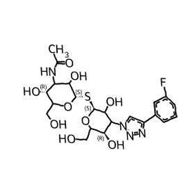 CC(=O)NC1C(O)[C@H](S[C@@H]2OC(CO)[C@H](O)C(n3cc(-c4cccc(F)c4)nn3)C2O)OC(CO)[C@@H]1O